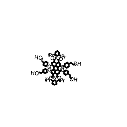 CC(C)c1cccc(C(C)C)c1N1C(=O)c2cc(Oc3ccc(CCO)cc3)c3c4c(Oc5ccc(CCO)cc5)cc5c6c(cc(Oc7ccc(CCO)cc7)c(c7c(Oc8ccc(CCO)cc8)cc(c2c37)C1=O)c64)C(=O)N(c1c(C(C)C)cccc1C(C)C)C5=O